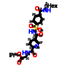 CCCCCCNC(=O)c1ccc(S(=O)(=O)NC(=O)c2ccc(C(=O)NCC(=O)OC(C)C)nc2)cc1